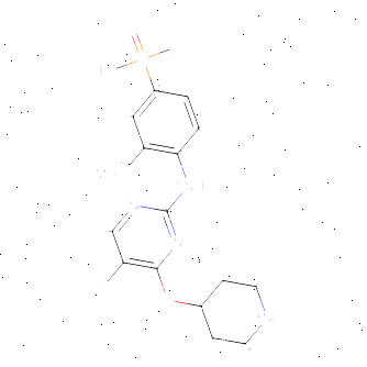 CCP(=O)(CC)c1ccc(Nc2ncc(C(F)(F)F)c(OC3CCNCC3)n2)c(OC)c1